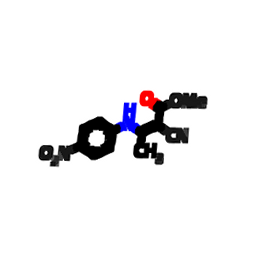 COC(=O)C(C#N)=C(C)Nc1ccc([N+](=O)[O-])cc1